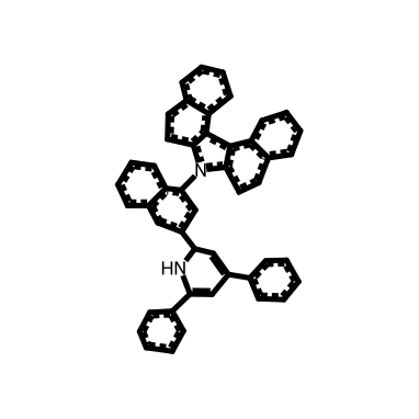 C1=C(c2ccccc2)C=C(c2ccccc2)NC1c1cc(-n2c3ccc4ccccc4c3c3c4ccccc4ccc32)c2ccccc2c1